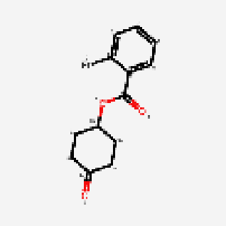 CCc1ccccc1C(=O)OC1CCC(=O)CC1